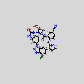 N#Cc1ccc(Cn2nccc2-c2cc(F)c3nnn(-c4ccc5[nH]c(=O)[nH]c5c4)c3c2)c(C(=O)N2CC(O)C2)c1